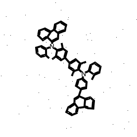 Cc1ccccc1N(c1ccc(-c2cc3ccccc3c3ccccc23)cc1)c1c(C)cc(-c2cc(C)c(N(c3ccccc3C)c3cc4ccccc4c4ccccc34)c(C)c2)cc1C